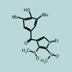 CCn1cc(C(=O)c2cc(C(C)(C)C)c(O)c(C(C)(C)C)c2)c([S+](C)[O-])c1[S+](C)[O-]